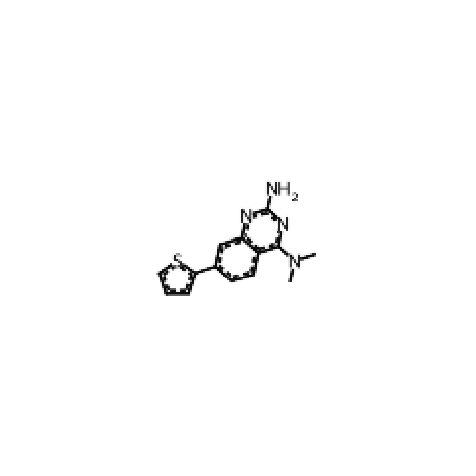 CN(C)c1nc(N)nc2cc(-c3cccs3)ccc12